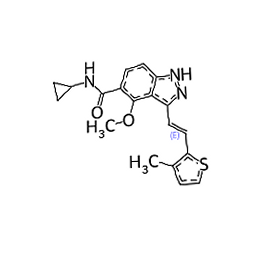 COc1c(C(=O)NC2CC2)ccc2[nH]nc(/C=C/c3sccc3C)c12